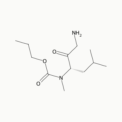 CCCOC(=O)N(C)[C@@H](CC(C)C)C(=O)CN